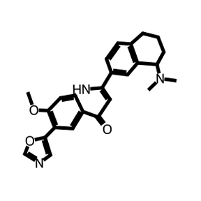 COc1cc2[nH]c(-c3ccc4c(c3)C(N(C)C)CCC4)cc(=O)c2cc1-c1cnco1